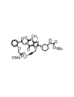 CC#CCn1c(N2CCCC(NC(=O)OC(C)(C)C)C2)nc2c1c(=O)n(CC(=O)c1ccccc1OCC(=O)OC)c(=O)n2C